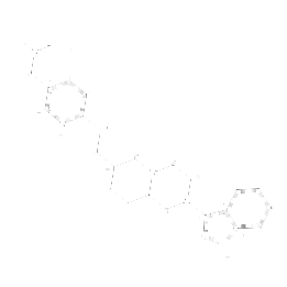 CCN(C)Cc1ccc(OCC2CCC3CN(c4noc5ccccc45)CCN3C2)nc1